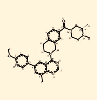 COc1ccc(-c2cc(C)c3ncnc(N4CCc5ccc(C(=O)N6CCN(C)[C@@H](C)C6)cc5C4)c3c2)cn1